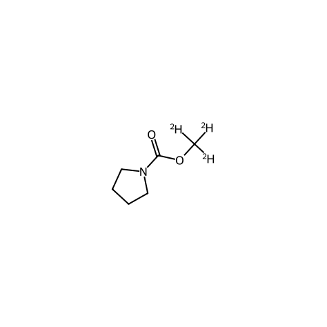 [2H]C([2H])([2H])OC(=O)N1CCCC1